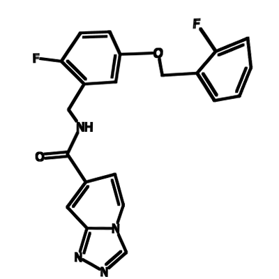 O=C(NCc1cc(OCc2ccccc2F)ccc1F)c1ccn2cnnc2c1